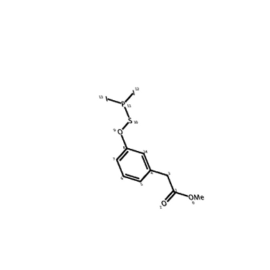 COC(=O)Cc1cccc(OSP(I)I)c1